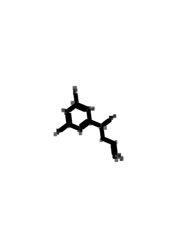 C=CCN(F)c1nc(F)nc(F)n1